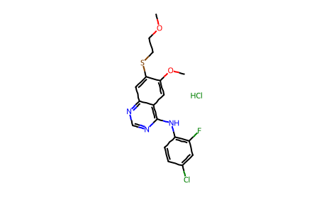 COCCSc1cc2ncnc(Nc3ccc(Cl)cc3F)c2cc1OC.Cl